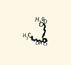 CC/C=C\C[C@H](O)C/C=C1/C(=O)C=C[C@@H]1CC#CCCCC(=O)OC